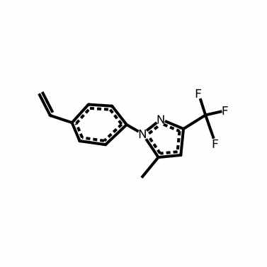 C=Cc1ccc(-n2nc(C(F)(F)F)cc2C)cc1